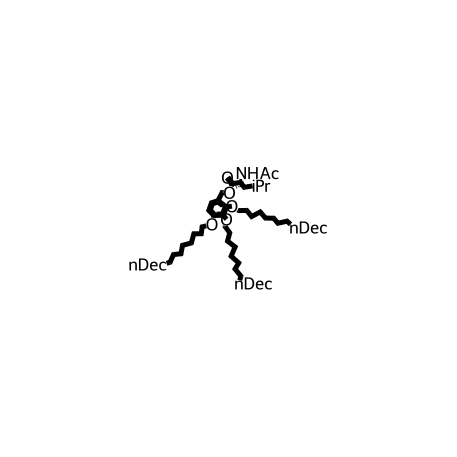 CCCCCCCCCCCCCCCCCCOc1ccc(COC(=O)[C@H](CC(C)C)NC(C)=O)c(OCCCCCCCCCCCCCCCCCC)c1OCCCCCCCCCCCCCCCCCC